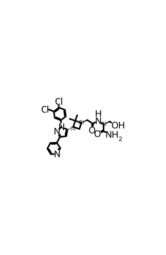 CC1(C)[C@@H](CC(=O)N[C@@H](CO)C(N)=O)C[C@@H]1c1cc(-c2cccnc2)nn1-c1ccc(Cl)c(Cl)c1